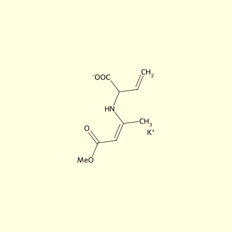 C=CC(NC(C)=CC(=O)OC)C(=O)[O-].[K+]